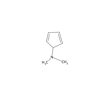 CN(C)C1C=CC=C1